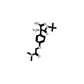 CN(C)C(=O)COc1ccc([C@@](N)(C(=O)O)C(=O)OC(C)(C)C)cc1